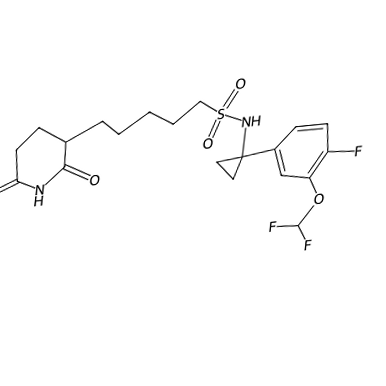 O=C1CCC(CCCCCS(=O)(=O)NC2(c3ccc(F)c(OC(F)F)c3)CC2)C(=O)N1